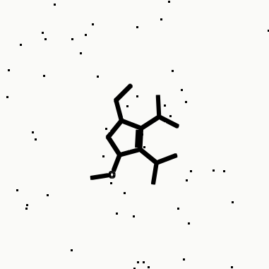 CCC1CC(OC)C(C(C)C)=C1C(C)C